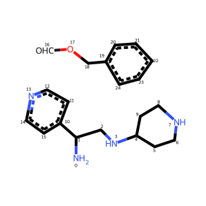 NC(CNC1CCNCC1)c1ccncc1.O=COCc1ccccc1